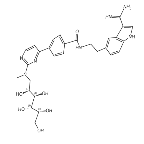 CN(C[C@H](O)[C@@H](O)[C@@H](O)[C@H](O)CO)c1nccc(-c2ccc(C(=O)NCCc3ccc4[nH]cc(C(=N)N)c4c3)cc2)n1